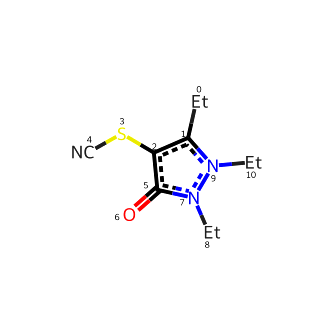 CCc1c(SC#N)c(=O)n(CC)n1CC